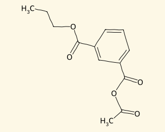 CCCOC(=O)c1cccc(C(=O)OC(C)=O)c1